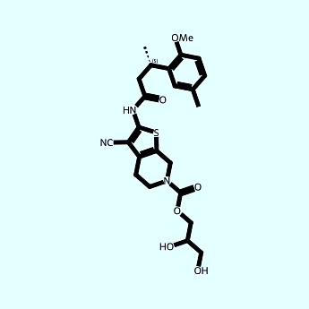 COc1ccc(C)cc1[C@@H](C)CC(=O)Nc1sc2c(c1C#N)CCN(C(=O)OCC(O)CO)C2